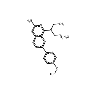 CCN(CC)c1nc(N)nc2ncc(-c3ccc(OC)cc3)nc12.O